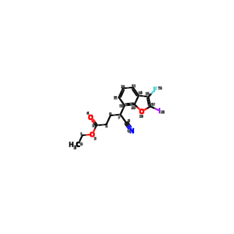 CCOC(=O)CCC(C#N)c1cccc2c(F)c(I)oc12